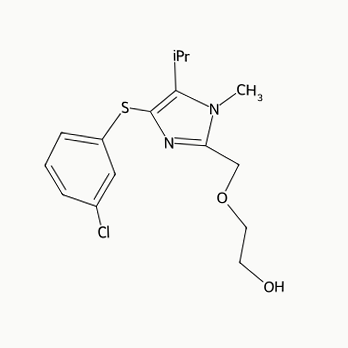 CC(C)c1c(Sc2cccc(Cl)c2)nc(COCCO)n1C